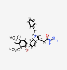 Cc1c(C(=O)O)ccc(Br)c1C(=O)O.NNC(=O)Cc1cn(CCc2ccccc2)c2ccccc12